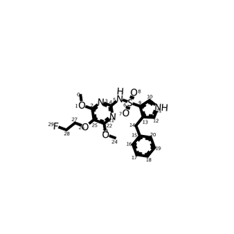 COc1nc(NS(=O)(=O)c2c[nH]cc2Cc2ccccc2)nc(OC)c1OCCF